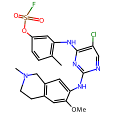 COc1cc2c(cc1Nc1ncc(Cl)c(Nc3cc(OS(=O)(=O)F)ccc3C)n1)CN(C)CC2